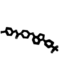 CS(=O)(=O)c1ccc(N2CCc3c(OC4CCN(C(=O)OC5C=CC(F)=CC5)CC4)cccc32)cc1